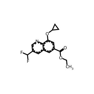 CCOC(=O)c1cc(OC2CC2)c2ncc(C(F)F)cc2c1